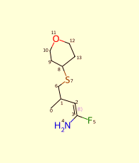 CC(/C=C(\N)F)CSC1CCOCC1